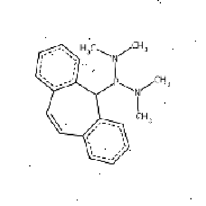 CN(C)P(C1c2ccccc2C=Cc2ccccc21)N(C)C